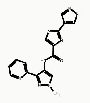 Cn1cc(NC(=O)c2csc(-c3cn[nH]c3)n2)c(-c2ccccn2)n1